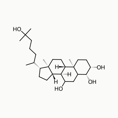 CC(CCCC(C)(C)O)[C@H]1CC[C@H]2[C@@H]3C(O)CC4[C@@H](O)[C@@H](O)CC[C@]4(C)[C@H]3CC[C@]12C